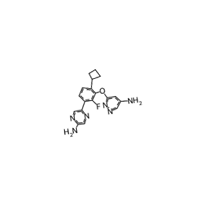 Nc1cnnc(Oc2c(C3CCC3)ccc(-c3cnc(N)cn3)c2F)c1